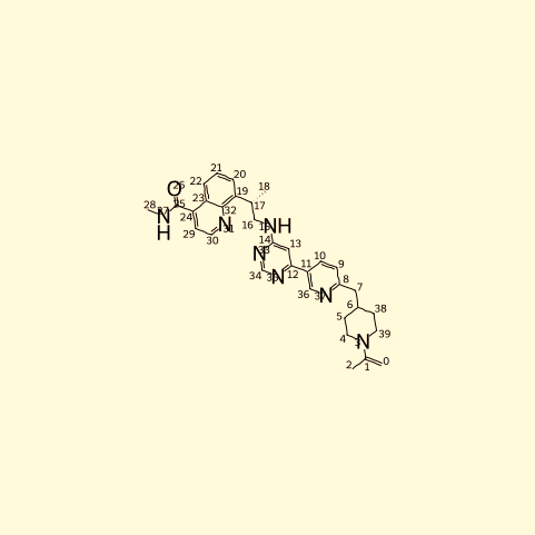 C=C(C)N1CCC(Cc2ccc(-c3cc(NC[C@@H](C)c4cccc5c(C(=O)NC)ccnc45)ncn3)cn2)CC1